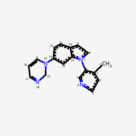 Cc1ccncc1-n1ccc2ccc(N3C=CC=NC3)cc21